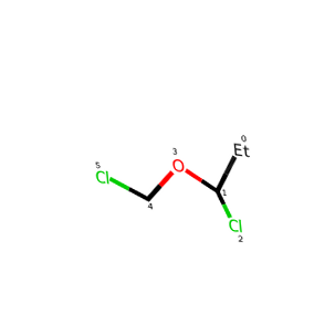 CCC(Cl)OCCl